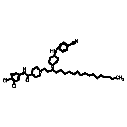 CCCCCCCCCCCCCCCCC(CCN1CCC(C(=O)Nc2ccc(Cl)c(Cl)c2)CC1)N1CCC(Nc2ccc(C#N)cc2)CC1